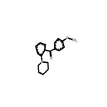 COc1ccc(C(=O)c2ccccc2N2CCCCC2)cc1